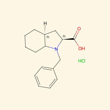 Cl.O=C(O)[C@@H]1C[C@@H]2CCCCC2N1Cc1ccccc1